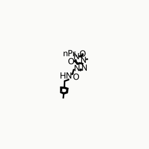 CCCn1c(=O)c2c(ncn2CC(=O)NCCc2ccc(C)cc2)n(C)c1=O